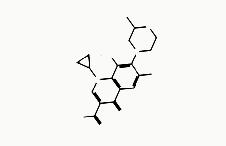 COc1c(N2CCNC(C)C2)c(F)cc2c(=O)c(C(=O)C(=O)O)cn(C3CC3)c12